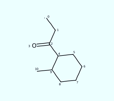 [CH2]CC(=O)C1CCCCC1C